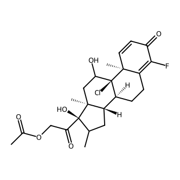 CC(=O)OCC(=O)[C@@]1(O)C(C)C[C@H]2[C@@H]3CCC4=C(F)C(=O)C=C[C@]4(C)[C@@]3(Cl)C(O)C[C@@]21C